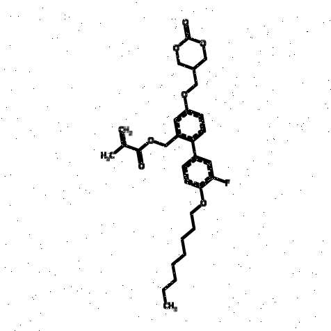 C=C(C)C(=O)OCc1cc(OCC2COC(=O)OC2)ccc1-c1ccc(OCCCCCCCC)c(F)c1